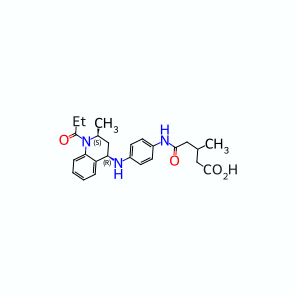 CCC(=O)N1c2ccccc2[C@H](Nc2ccc(NC(=O)CC(C)CC(=O)O)cc2)C[C@@H]1C